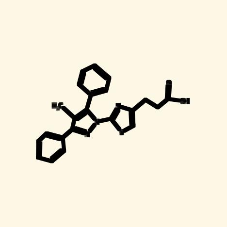 Cc1c(-c2ccccc2)nn(-c2nc(CCC(=O)O)cs2)c1-c1ccccc1